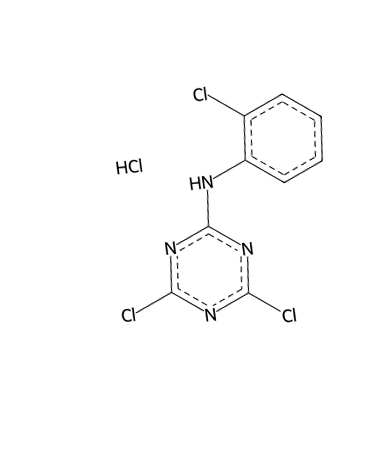 Cl.Clc1nc(Cl)nc(Nc2ccccc2Cl)n1